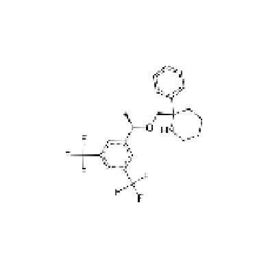 C[C@@H](OC[C@@]1(c2ccccc2)CCCCN1)c1cc(C(F)(F)F)cc(C(F)(F)F)c1